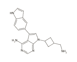 NCC1CC(n2cc(-c3ccc4[nH]ccc4c3)c3c(N)ncnc32)C1